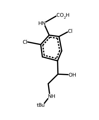 CC(C)(C)NCC(O)c1cc(Cl)c(NC(=O)O)c(Cl)c1